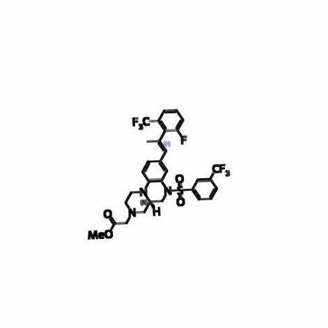 COC(=O)CN1CCN2c3ccc(/C=C(\C)c4c(F)cccc4C(F)(F)F)cc3N(S(=O)(=O)c3cccc(C(F)(F)F)c3)C[C@@H]2C1